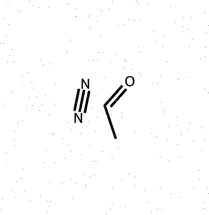 CC=O.N#N